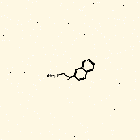 [CH2]CCCCCCCOc1ccc2ccccc2c1